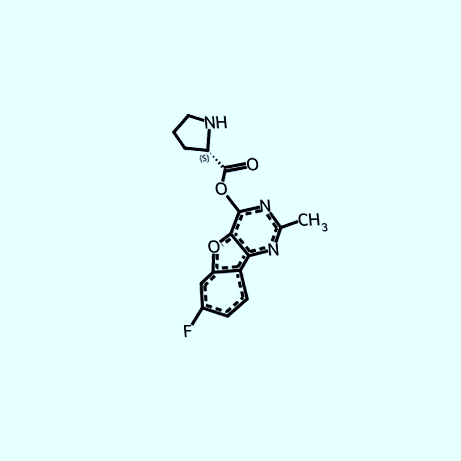 Cc1nc(OC(=O)[C@@H]2CCCN2)c2oc3cc(F)ccc3c2n1